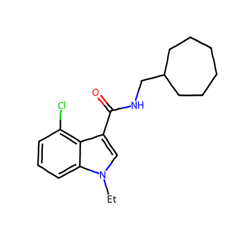 CCn1cc(C(=O)NCC2CCCCCC2)c2c(Cl)cccc21